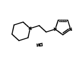 Cl.c1cn(CCN2CCCCC2)cn1